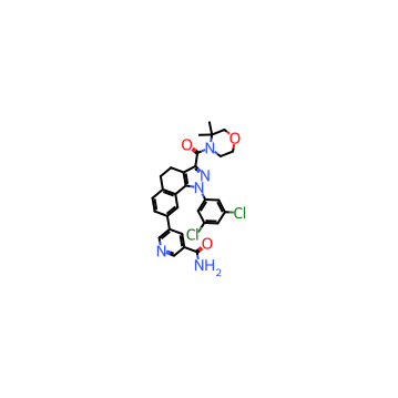 CC1(C)COCCN1C(=O)c1nn(-c2cc(Cl)cc(Cl)c2)c2c1CCc1ccc(-c3cncc(C(N)=O)c3)cc1-2